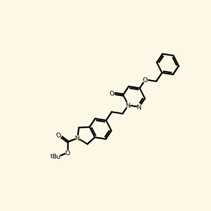 CC(C)(C)OC(=O)N1Cc2ccc(CCn3ncc(OCc4ccccc4)cc3=O)cc2C1